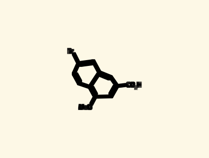 COc1cc(C(=O)O)cc2cc(Br)ccc12